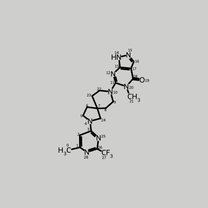 Cc1cc(N2CCC3(CCN(c4nc5[nH]ncc5c(=O)n4C)CC3)C2)nc(C(F)(F)F)n1